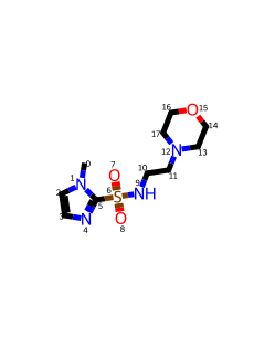 Cn1ccnc1S(=O)(=O)NCCN1CCOCC1